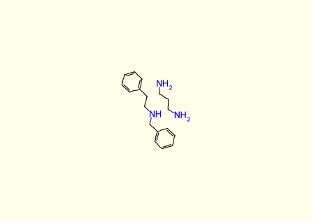 NCCCN.c1ccc(CCNCc2ccccc2)cc1